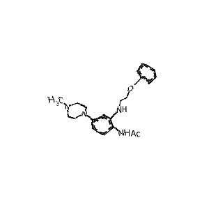 CC(=O)Nc1ccc(N2CCN(C)CC2)cc1NCCOc1ccccc1